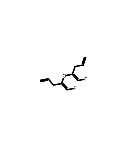 C=CCC(=CF)OC(=CF)CC=C